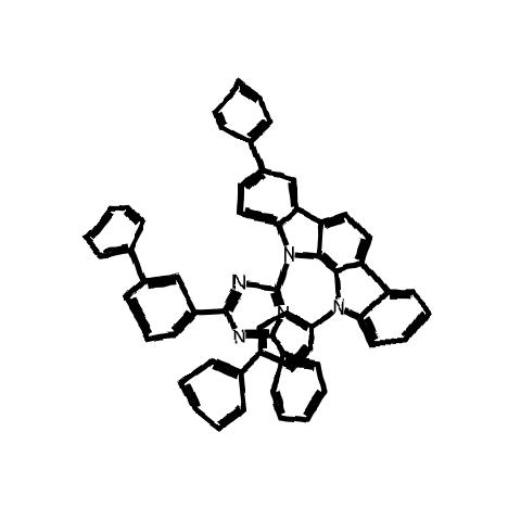 c1ccc(-c2ccc(-n3c4ccccc4c4ccc5c6cc(-c7ccccc7)ccc6n(-c6nc(-c7ccccc7)nc(-c7cccc(-c8ccccc8)c7)n6)c5c43)cc2)cc1